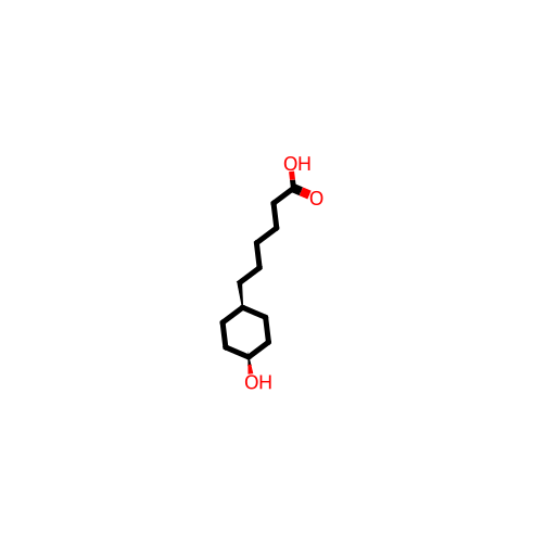 O=C(O)CCCCC[C@H]1CC[C@@H](O)CC1